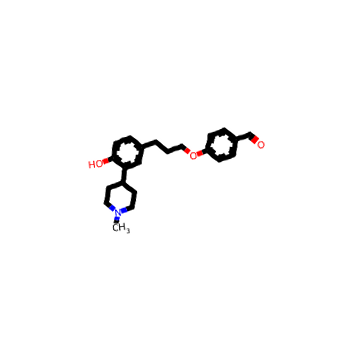 CN1CCC(c2cc(CCCOc3ccc(C=O)cc3)ccc2O)CC1